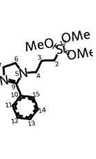 CO[Si](CCCN1CCN=C1c1ccccc1)(OC)OC